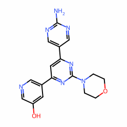 Nc1ncc(-c2cc(-c3cncc(O)c3)nc(N3CCOCC3)n2)cn1